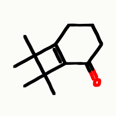 CC1(C)C2=C(C(=O)CCC2)C1(C)C